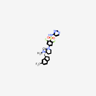 CN(C)[C@]1(C[C@H]2CCc3ccc(C(F)(F)F)cc32)CCCN(c2cc(F)c(S(=O)(=O)Nc3ccncn3)c(F)c2)C1